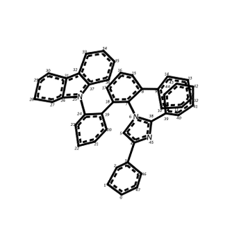 c1ccc(-c2cn(-c3c(-c4ccccc4)cccc3-c3ccccc3-n3c4ccccc4c4ccccc43)c(-c3ccccc3)n2)cc1